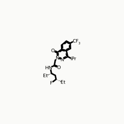 CC[C@H](F)C[C@H](CC)NC(=O)Cn1nc(C(C)C)c2cc(C(F)(F)F)ccc2c1=O